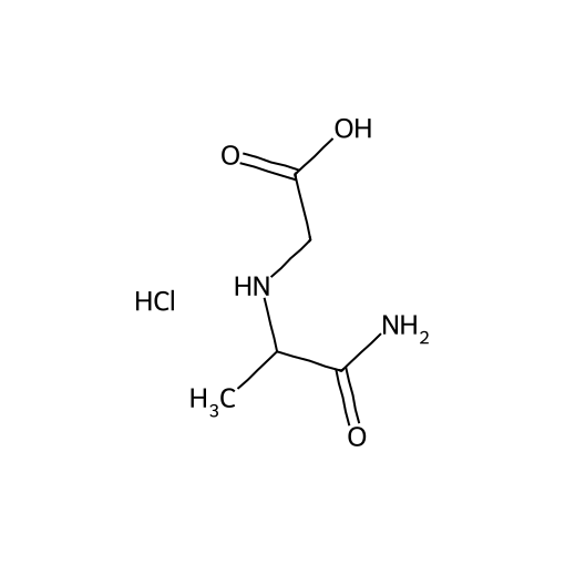 CC(NCC(=O)O)C(N)=O.Cl